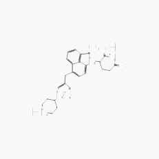 O=C1CCC(N2C(=O)c3cccc4c(Cc5cnn(C6CCNCC6)c5)ccc2c34)C(=O)N1